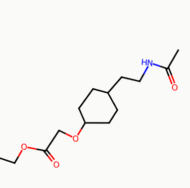 CCOC(=O)COC1CCC(CCNC(C)=O)CC1